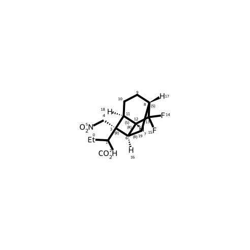 CCC(C(=O)O)[C@]1(C[N+](=O)[O-])[C@@H]2C[C@@H]3CC[C@H]1[C@H]2C3(F)F